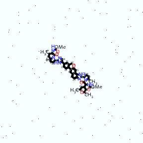 COC(=O)N[C@@H]1C(=O)N2[C@H](CC[C@H]2c2ncc(-c3ccc4c(c3)COc3cc5c(ccc6nc([C@@H]7CC[C@H](C)N7C(=O)[C@@H](NC(=O)OC)C7C[C@@H](C)O[C@H](C)C7)[nH]c65)cc3-4)[nH]2)CC1C